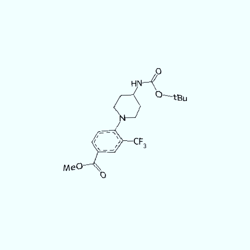 COC(=O)c1ccc(N2CCC(NC(=O)OC(C)(C)C)CC2)c(C(F)(F)F)c1